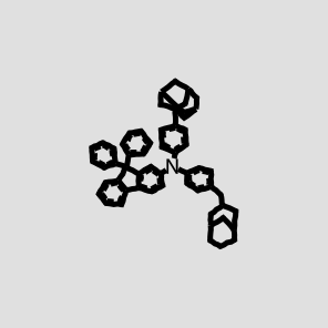 c1ccc(C2(c3ccccc3)c3ccccc3-c3ccc(N(c4ccc(CC5CC6CCCC(C6)C5)cc4)c4ccc(C56CC7CC(CC(C7)C5)C6)cc4)cc32)cc1